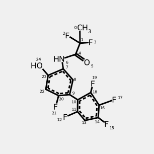 CC(F)(F)C(=O)Nc1cc(-c2c(F)cc(F)c(F)c2F)c(F)cc1O